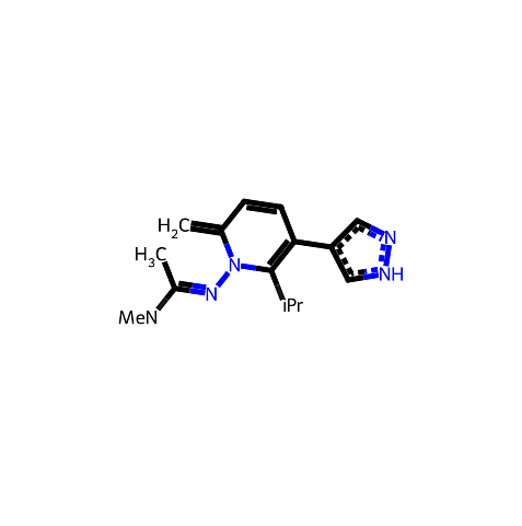 C=C1C=CC(c2cn[nH]c2)=C(C(C)C)N1/N=C(\C)NC